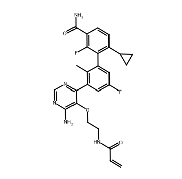 C=CC(=O)NCCOc1c(N)ncnc1-c1cc(F)cc(-c2c(C3CC3)ccc(C(N)=O)c2F)c1C